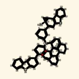 C1=C(c2cccc(N(c3ccc(-c4ccc5oc6ccccc6c5c4)cc3)c3ccccc3-c3cccc4cccc(C5CCCCC5)c34)c2)[C@@H]2C=C2c2c1oc1ccccc21